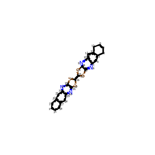 C1=CCc2cc3nc4c(nc3cc2C1)SC(=C1Sc2nc3cc5ccccc5cc3nc2S1)S4